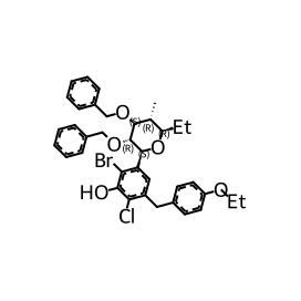 CCOc1ccc(Cc2cc([C@@H]3O[C@H](CC)[C@@H](C)[C@H](OCc4ccccc4)[C@H]3OCc3ccccc3)c(Br)c(O)c2Cl)cc1